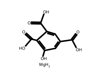 O=C(O)c1cc(O)c(C(=O)O)c(C(=O)O)c1.[MgH2]